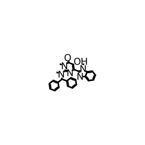 CN(c1nc(-c2nc3ccccc3n2C)c(O)c(=O)n1C)C(c1ccccc1)c1ccccc1